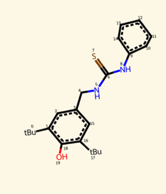 CC(C)(C)c1cc(CNC(=S)Nc2ccccc2)cc(C(C)(C)C)c1O